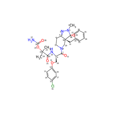 CN1N=C2CCN(C(=O)[C@@H](COc3ccc(Cl)cc3)NC(=O)C(C)(C)OC(N)=O)C[C@@]2(Cc2ccccc2)C1=O